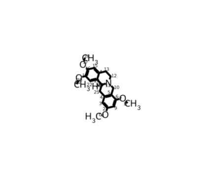 COc1cc2c(c(OC)c1)CN1CCc3cc(OC)c(OC)cc3[C@@H]1C2